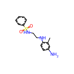 Cc1cc(N)ccc1NCCNS(=O)(=O)c1ccccc1